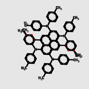 CCCCc1cc2c(N(c3ccc(C)cc3)c3ccc(C)cc3)cc(N(c3ccc(C)cc3)c3ccc(C)cc3)c3c(CCCC)cc4c(N(c5ccc(C)cc5)c5ccc(C)cc5)cc(N(c5ccc(C)cc5)c5ccc(C)cc5)c1c4c23